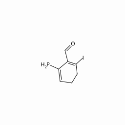 O=CC1=C(I)CCC=C1P